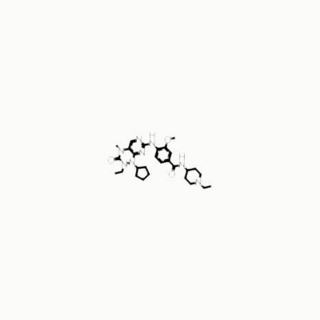 CCN1CCC(NC(=O)c2ccc(Nc3ncc4c(n3)N(C3CCCC3)N(CC)C(=O)N4C)c(OC)c2)CC1